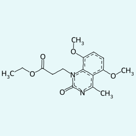 CCOC(=O)CCn1c(=O)nc(C)c2c(OC)ccc(OC)c21